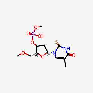 COC[C@H]1O[C@@H](n2cc(C)c(=O)[nH]c2=S)CC1OP(=O)(O)OC